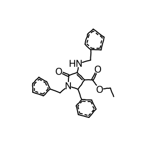 CCOC(=O)C1=C(NCc2ccccc2)C(=O)N(Cc2ccccc2)C1c1ccccc1